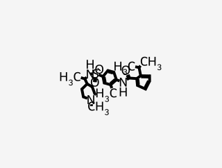 Cc1cc(S(=O)(=O)NC(C)C2CCN(C)CC2)ccc1NC(=O)c1ccccc1C(C)C